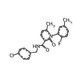 Cc1ccc(F)c(-n2c(C)ccc(C(=O)NCc3ccc(Cl)cc3)c2=O)c1